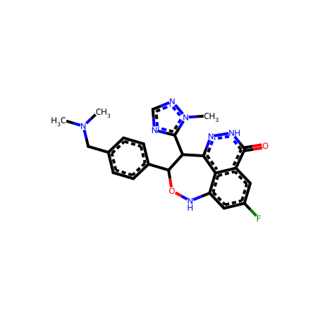 CN(C)Cc1ccc(C2ONc3cc(F)cc4c(=O)[nH]nc(c34)C2c2ncnn2C)cc1